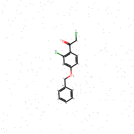 O=C(CBr)c1ccc(OCc2ccccc2)cc1Cl